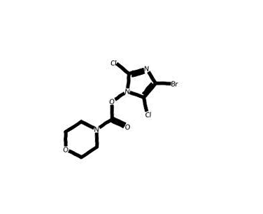 O=C(On1c(Cl)nc(Br)c1Cl)N1CCOCC1